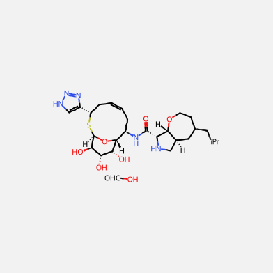 CC(C)C[C@@H]1CCO[C@@H]2[C@H](CN[C@@H]2C(=O)N[C@@H]2CC=CC[C@@H](c3c[nH]nn3)S[C@H]3O[C@H]2[C@H](O)[C@H](O)[C@H]3O)C1.O=CO